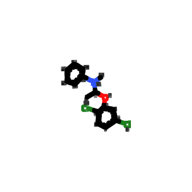 CC(Oc1cc(Cl)ccc1Cl)N(C)c1ccccc1